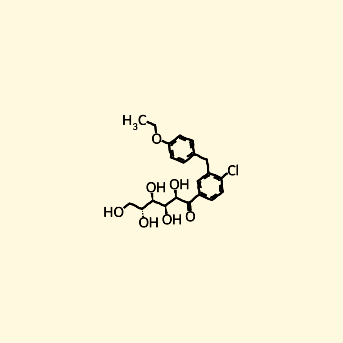 CCOc1ccc(Cc2cc(C(=O)[C@H](O)[C@@H](O)[C@H](O)[C@H](O)CO)ccc2Cl)cc1